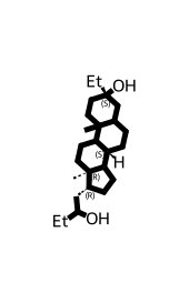 CCC(O)C[C@H]1CCC2[C@@H]3CCC4C[C@](O)(CC)CCC4(C)C3CC[C@@]21C